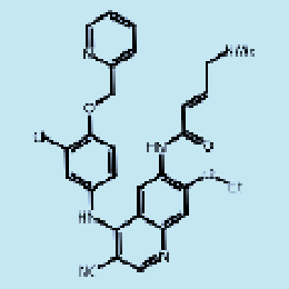 CCOc1cc2ncc(C#N)c(Nc3ccc(OCc4ccccn4)c(Cl)c3)c2cc1NC(=O)/C=C/CNC